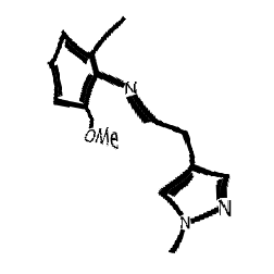 COc1cccc(C)c1N=CCc1cnn(C)c1